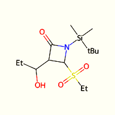 CCC(O)C1C(=O)N([Si](C)(C)C(C)(C)C)C1S(=O)(=O)CC